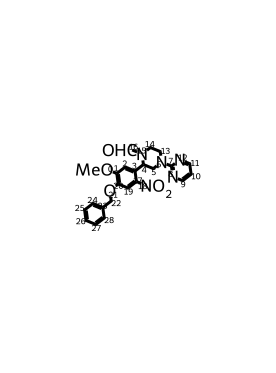 COc1cc(C2CN(c3ncccn3)CCN2C=O)c([N+](=O)[O-])cc1OCc1ccccc1